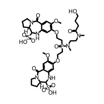 COc1cc2c(cc1OCCP(=O)(CCOc1cc3c(cc1OC)C(=O)N1CCC[C@H]1C(S(=O)(=O)O)N3)N(C)CCN(C)C(=O)CCCO)NC(S(=O)(=O)O)[C@@H]1CCCN1C2=O